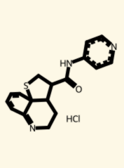 Cl.O=C(Nc1ccncc1)C1CSC23C=CC=CC2=NCCC13